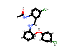 CC(=O)Nc1ccc(Cl)cc1CNc1ccccc1Oc1ccc(Cl)cc1